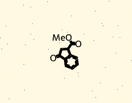 COC(=O)C1CC(=O)c2ccccc21